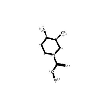 CC(C)(C)OC(=O)N1CC[C@@H](N)[C@@H](C(F)(F)F)C1